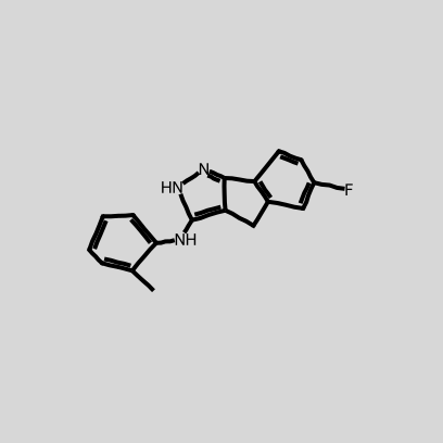 Cc1ccccc1Nc1[nH]nc2c1Cc1cc(F)ccc1-2